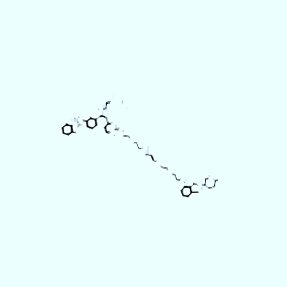 CC(C)(C)c1nc(-c2cccc(NS(=O)(=O)c3c(F)cccc3F)c2F)c(-c2ccnc(NCCOCCNC(=O)C=COCCOCCNc3cccc4c3CN(C3CCC(=O)NC3=O)C4=O)n2)s1